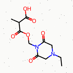 CCN1CC(=O)N(COC(=O)C(C)C(=O)O)C(=O)C1